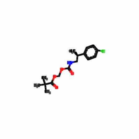 [CH2][C@H](CNC(=O)OCOC(=O)C(C)(C)C)c1ccc(Cl)cc1